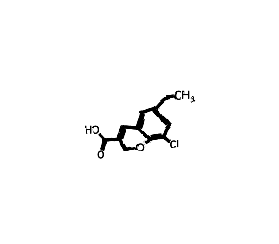 CCc1cc(Cl)c2c(c1)C=C(C(=O)O)CO2